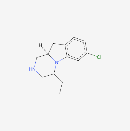 CCC1CNC[C@H]2Cc3ccc(Cl)cc3N12